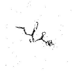 CCCC(=O)NC(N)=O